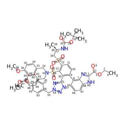 CCOC(=O)c1nc2c(-c3ccc(S(=O)(=O)C[C@@H](C)NC(=O)OC(C)(C)C)c(S(=O)(=O)N(Cc4ccc(OC)cc4)Cc4ccc(OC)cc4)c3-c3nnn(Cc4ccc(OC)cc4)n3)cccc2[nH]1